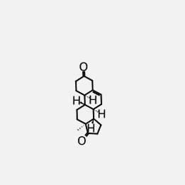 C[C@]12CC[C@H]3[C@@H](CC=C4CC(=O)CC[C@@H]43)[C@@H]1CCC2=O